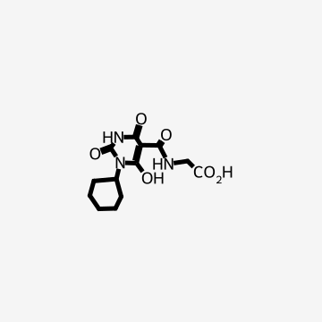 O=C(O)CNC(=O)c1c(O)n(C2CCCCC2)c(=O)[nH]c1=O